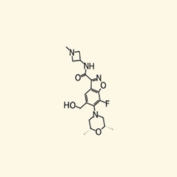 C[C@@H]1CN(c2c(CO)cc3c(C(=O)NC4CN(C)C4)noc3c2F)C[C@H](C)O1